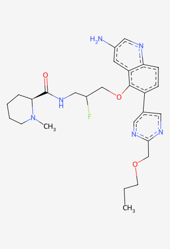 CCCOCc1ncc(-c2ccc3ncc(N)cc3c2OCC(F)CNC(=O)[C@@H]2CCCCN2C)cn1